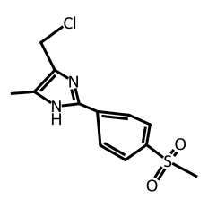 Cc1[nH]c(-c2ccc(S(C)(=O)=O)cc2)nc1CCl